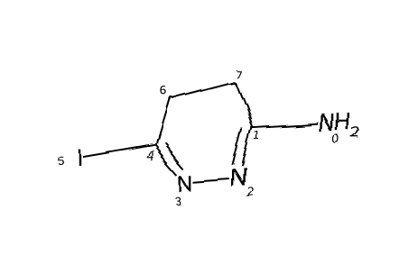 NC1=NN=C(I)CC1